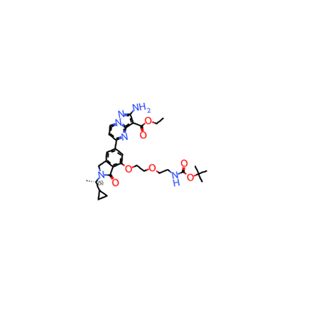 CCOC(=O)c1c(N)nn2ccc(-c3cc4c(c(OCCOCCNC(=O)OC(C)(C)C)c3)C(=O)N([C@@H](C)C3CC3)C4)nc12